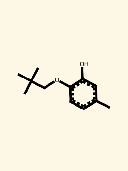 Cc1ccc(OCC(C)(C)C)c(O)c1